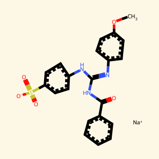 COc1ccc(/N=C(/NC(=O)c2ccccc2)Nc2ccc(S(=O)(=O)[O-])cc2)cc1.[Na+]